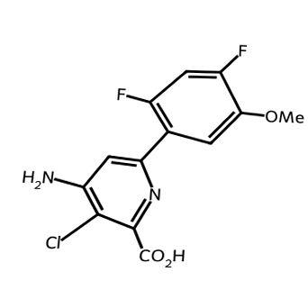 COc1cc(-c2cc(N)c(Cl)c(C(=O)O)n2)c(F)cc1F